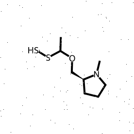 CC(OC[C@@H]1CCCN1C)SS